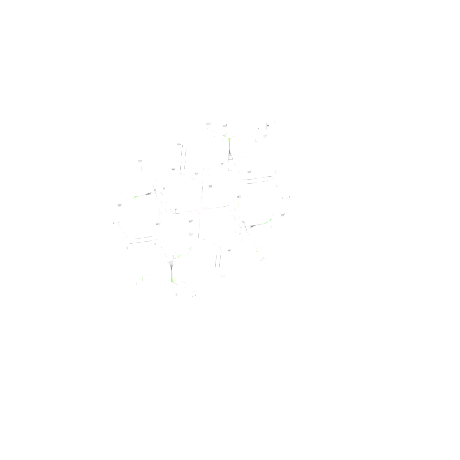 FC(F)(F)c1ccccc1[B-](c1ccccc1C(F)(F)F)(c1ccccc1C(F)(F)F)c1ccccc1C(F)(F)F.[K+]